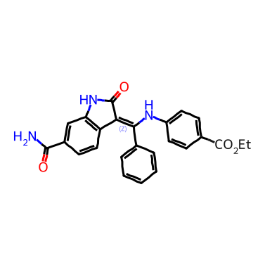 CCOC(=O)c1ccc(N/C(=C2\C(=O)Nc3cc(C(N)=O)ccc32)c2ccccc2)cc1